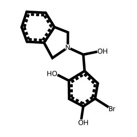 Oc1cc(O)c(C(O)N2Cc3ccccc3C2)cc1Br